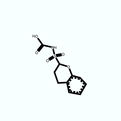 O=C(O)NS(=O)(=O)C1CCc2ccccc2O1